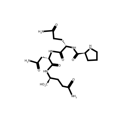 NC(=O)CC[C@H](NC(=O)[C@H](CC(N)=O)NC(=O)[C@H](CCC(N)=O)NC(=O)[C@@H]1CCCN1)C(=O)O